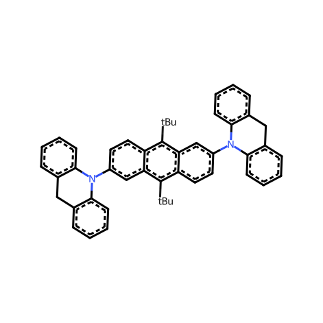 CC(C)(C)c1c2ccc(N3c4ccccc4Cc4ccccc43)cc2c(C(C)(C)C)c2ccc(N3c4ccccc4Cc4ccccc43)cc12